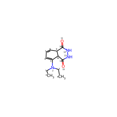 CCN(CC)C1=CC=CC2C(=O)NNC(=O)C12